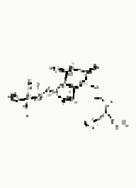 CC(C)OCCn1c(=S)[nH]c(=O)c2c1ccn2COP(=O)(O)O